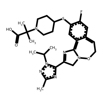 Cc1nc(C2=NC3=c4cc(SC5CCN(C(C)(C)C(=O)O)CC5)c(F)cc4=CCON3C2)n(C(C)C)n1